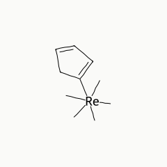 [CH3][Re]([CH3])([CH3])([CH3])([CH3])[C]1=CC=CC1